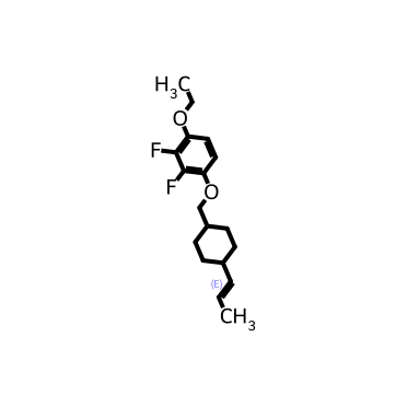 C/C=C/C1CCC(COc2ccc(OCC)c(F)c2F)CC1